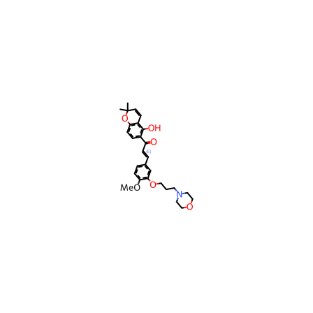 COc1ccc(/C=C/C(=O)c2ccc3c(c2O)C=CC(C)(C)O3)cc1OCCCN1CCOCC1